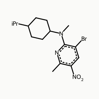 Cc1nc(N(C)C2CCC(C(C)C)CC2)c(Br)cc1[N+](=O)[O-]